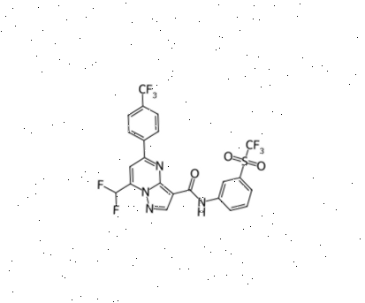 O=C(Nc1cccc(S(=O)(=O)C(F)(F)F)c1)c1cnn2c(C(F)F)cc(-c3ccc(C(F)(F)F)cc3)nc12